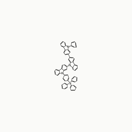 c1ccc(-n2c3ccccc3c3ccc(-c4ccc5c6ccccc6n(-c6ccc7c8ccccc8n(-c8ccc([Si](c9ccccc9)(c9ccccc9)c9ccccc9)cc8)c7c6)c5c4)cc32)cc1